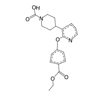 CCOC(=O)c1ccc(Oc2ncccc2C2CCN(C(=O)O)CC2)cc1